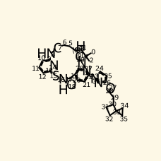 CC1(C)C[C@@H]2CCCNc3cccc(n3)SNC(=O)c3ccc(-n4ccc(OCCC5CCC56CC6)n4)nc3N1C2